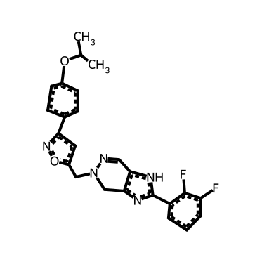 CC(C)Oc1ccc(-c2cc(CN3Cc4nc(-c5cccc(F)c5F)[nH]c4C=N3)on2)cc1